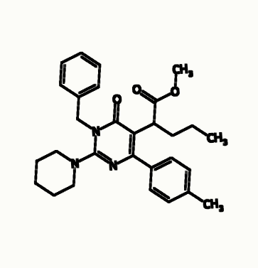 CCCC(C(=O)OC)c1c(-c2ccc(C)cc2)nc(N2CCCCC2)n(Cc2ccccc2)c1=O